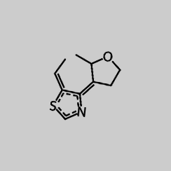 C/C=c1/scn/c1=C1\CCOC1C